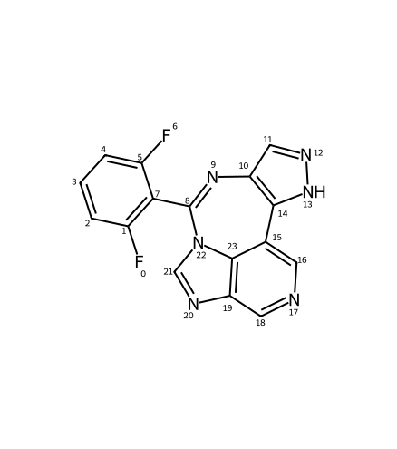 Fc1cccc(F)c1C1=Nc2cn[nH]c2-c2cncc3ncn1c23